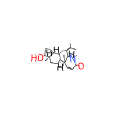 CC(C)=C1C[C@@H]2[C@H](CC[C@]3(C)[C@@H](O)CC[C@@H]23)[C@@]2(C)C=CC(=O)N(C)[C@H]12